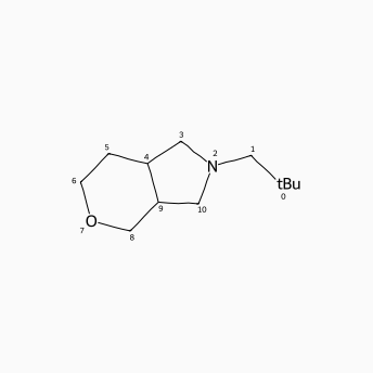 CC(C)(C)CN1CC2CCOCC2C1